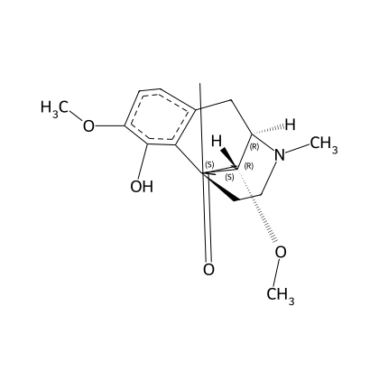 COc1ccc2c(c1O)[C@]13CCN(C)[C@H](C2)[C@@H]1C[C@H](OC)C(=O)C3